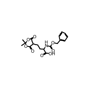 CC1(C)OC(=O)C(CCC(NC(=O)OCc2ccccc2)C(=O)O)C(=O)O1